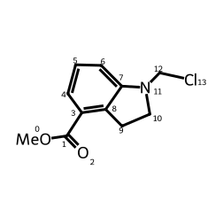 COC(=O)c1cccc2c1CCN2CCl